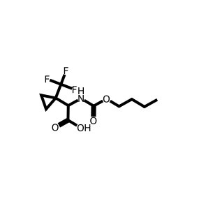 CCCCOC(=O)NC(C(=O)O)C1(C(F)(F)F)CC1